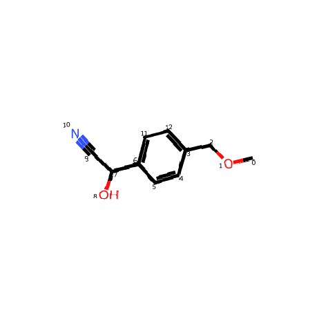 COCc1ccc(C(O)C#N)cc1